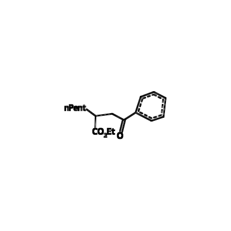 CCCCCC(CC(=O)c1ccccc1)C(=O)OCC